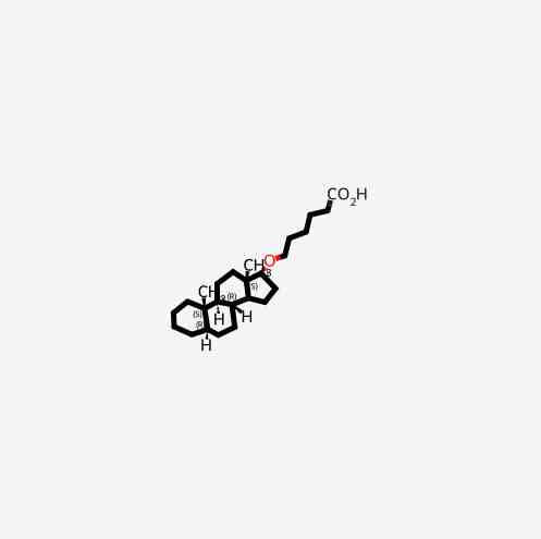 C[C@]12CCCC[C@@H]1CC[C@H]1C3CC[C@H](OCCCCCC(=O)O)[C@@]3(C)CC[C@@H]12